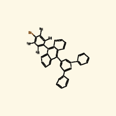 [2H]c1c([2H])c(-c2c3ccccc3c(-c3cc(-c4ccccc4)cc(-c4ccccc4)c3)c3ccccc23)c([2H])c([2H])c1Br